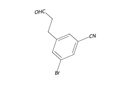 N#Cc1cc(Br)cc(CCC=O)c1